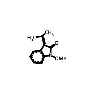 CON1C(=O)C(=C(C)C)c2ccccc21